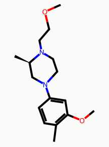 COCCN1CCN(c2ccc(C)c(OC)c2)C[C@H]1C